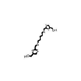 OCC1CSC(CSCCCCCSCC2SCC(CO)S2)S1